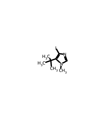 Cn1cnc(I)c1C(C)(C)C